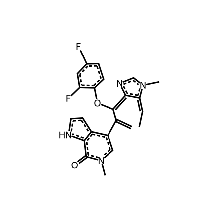 C=C(/C(Oc1ccc(F)cc1F)=c1/ncn(C)/c1=C/C)c1cn(C)c(=O)c2[nH]ccc12